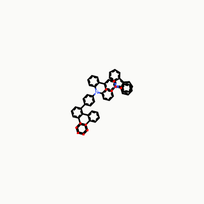 c1ccc(-c2ccc(-c3ccccc3N(c3ccc(-c4cccc(-c5ccccc5)c4-c4ccccc4-c4ccccc4)cc3)c3cccc(-n4c5ccccc5c5ccccc54)c3)cc2)cc1